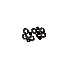 c1ccc(N(c2ccc3c(c2)[Si]2(c4ccccc4Oc4ccccc42)c2ccccc2S3)c2cccc3oc4ccccc4c23)cc1